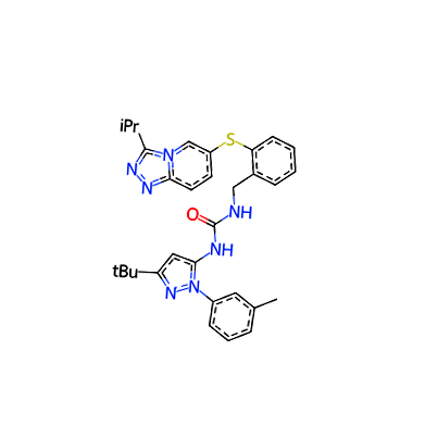 Cc1cccc(-n2nc(C(C)(C)C)cc2NC(=O)NCc2ccccc2Sc2ccc3nnc(C(C)C)n3c2)c1